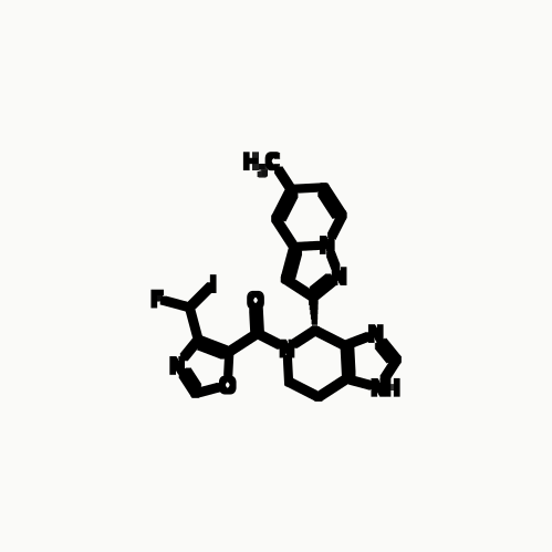 Cc1ccn2nc([C@@H]3c4nc[nH]c4CCN3C(=O)c3ocnc3C(F)I)cc2c1